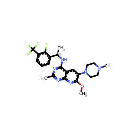 COc1nc2nc(C)nc(N[C@H](C)c3cccc(C(F)(F)F)c3F)c2cc1N1CCN(C)CC1